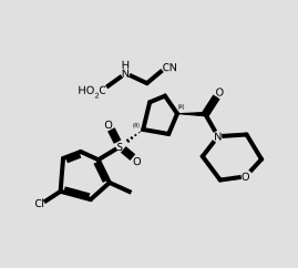 Cc1cc(Cl)ccc1S(=O)(=O)[C@@H]1CC[C@@H](C(=O)N2CCOCC2)C1.N#CCNC(=O)O